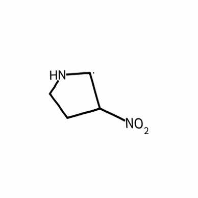 O=[N+]([O-])C1[CH]NCC1